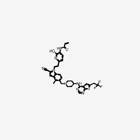 C=CC(=O)Nc1ccc(CCn2c(C#N)cc3c(C)c(CN4CCC(Nc5ncnc6sc(CC(F)(F)F)cc56)CC4)ccc32)nc1O